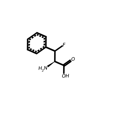 N[C@H](C(=O)O)C(F)c1ccccc1